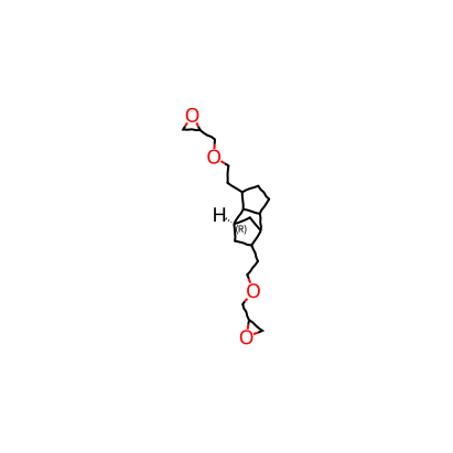 C(CC1C[C@@H]2CC1C1CCC(CCOCC3CO3)C12)OCC1CO1